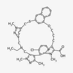 CCN1Cc2cc(n(C)n2)CSc2cc(c3ccccc3c2)OCCCc2c(C(=O)O)n(C)c3c(c(Cl)ccc23)-c2c(C)nn(C)c2C1